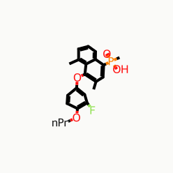 CCCOc1ccc(Oc2c(C)cc(P(C)(=O)O)c3cccc(C)c23)cc1F